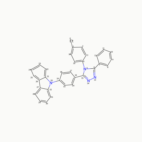 CCc1ccc(-n2c(-c3ccccc3)nnc2-c2ccc(-n3c4ccccc4c4ccccc43)cc2)cc1